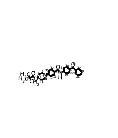 CC(C)(C)C(=O)ON1CCN(c2ccc(C(=O)Nc3ccc(C(=O)c4ccccc4)cc3)cc2)CC1